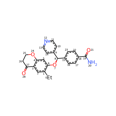 CCc1cc2c(cc1O[C@@H](c1ccncc1)c1ccc(C(N)=O)cc1)OCCC2=O